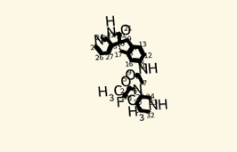 CC(C)(F)C(=O)N(CC(=O)Nc1ccc2c(c1)C[C@@]1(C2)C(=O)Nc2ncccc21)[C@H]1CCCNC1